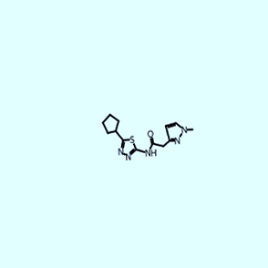 Cn1ccc(CC(=O)Nc2nnc(C3CCCC3)s2)n1